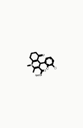 COC(=O)C1=C(C)N(C)C2=C(C(=O)CCC2)C1c1cccc(Cl)c1Cl